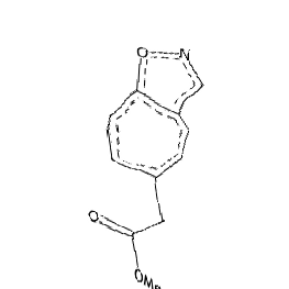 COC(=O)Cc1ccc2oncc2c1